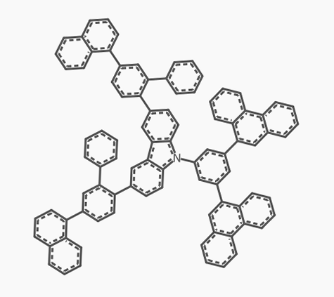 c1ccc(-c2cc(-c3cccc4ccccc34)ccc2-c2ccc3c(c2)c2cc(-c4ccc(-c5cccc6ccccc56)cc4-c4ccccc4)ccc2n3-c2cc(-c3cc4ccccc4c4ccccc34)cc(-c3cc4ccccc4c4ccccc34)c2)cc1